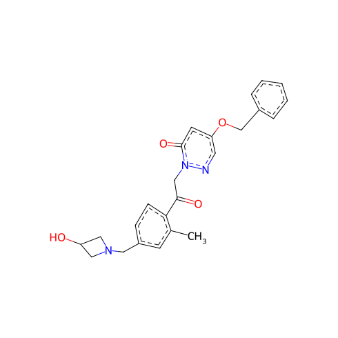 Cc1cc(CN2CC(O)C2)ccc1C(=O)Cn1ncc(OCc2ccccc2)cc1=O